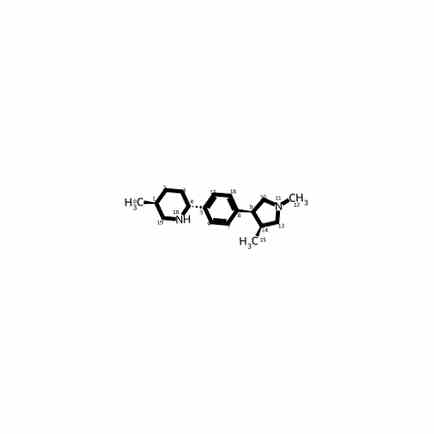 C[C@H]1CC[C@H](c2ccc([C@H]3CN(C)C[C@H]3C)cc2)NC1